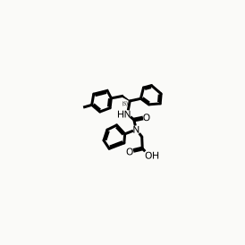 Cc1ccc(C[C@H](NC(=O)N(CC(=O)O)c2ccccc2)c2ccccc2)cc1